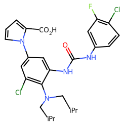 CC(C)CN(CC(C)C)c1c(Cl)cc(-n2cccc2C(=O)O)cc1NC(=O)Nc1ccc(Cl)c(F)c1